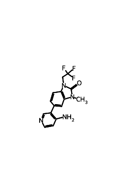 Cn1c(=O)n(CC(F)(F)F)c2ccc(-c3cnccc3N)cc21